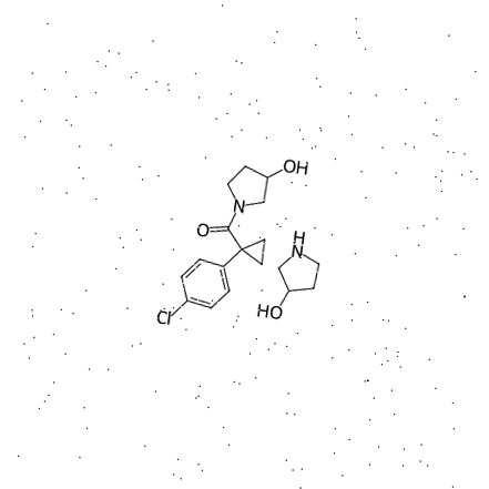 O=C(N1CCC(O)C1)C1(c2ccc(Cl)cc2)CC1.OC1CCNC1